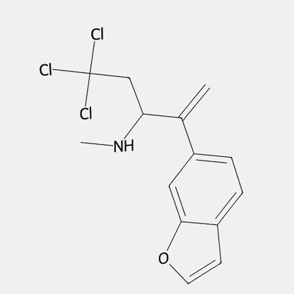 C=C(c1ccc2ccoc2c1)C(CC(Cl)(Cl)Cl)NC